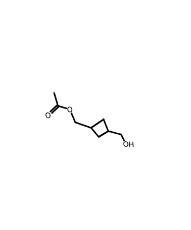 CC(=O)OCC1CC(CO)C1